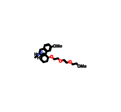 COCCOCCOCCO[C@H]1CCC[C@H]2[C@H]3Cc4ccc(OC)cc4[C@@]12CCN3C